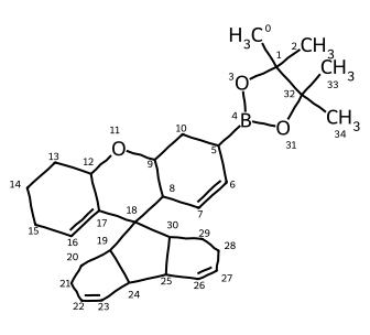 CC1(C)OB(C2C=CC3C(C2)OC2CCCC=C2C32C3CCC=CC3C3C=CCCC32)OC1(C)C